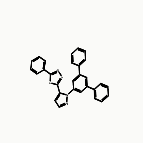 c1ccc(-c2cc(-c3ccccc3)cc(-n3nccc3-c3nnc(-c4ccccc4)o3)c2)cc1